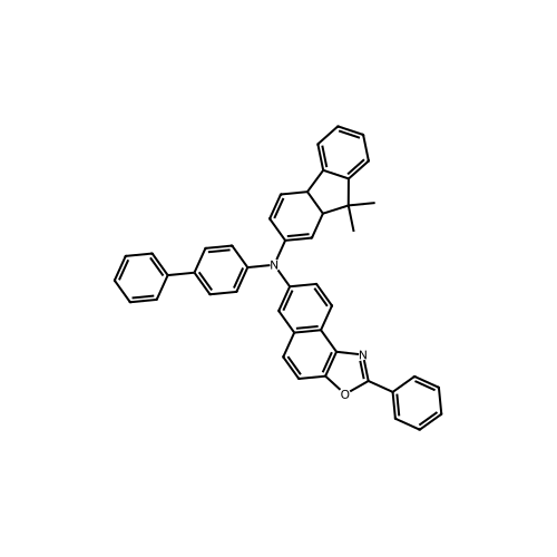 CC1(C)c2ccccc2C2C=CC(N(c3ccc(-c4ccccc4)cc3)c3ccc4c(ccc5oc(-c6ccccc6)nc54)c3)=CC21